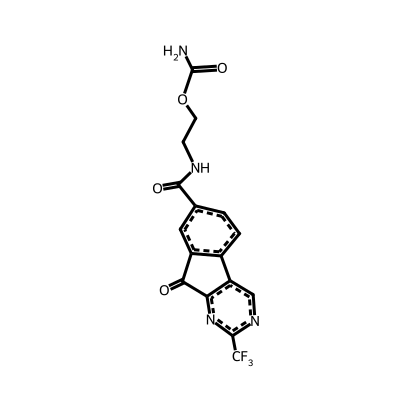 NC(=O)OCCNC(=O)c1ccc2c(c1)C(=O)c1nc(C(F)(F)F)ncc1-2